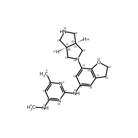 CNc1cc(C)nc(Nc2cc3c(c(N4C[C@H]5CNC[C@H]5C4)c2)OCC3)n1